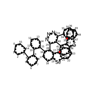 c1ccc(-c2ccccc2-c2ccccc2-c2ccc3[se]c4ccccc4c3c2-c2nnnc(-c3ccccc3)c2-c2cccc3sc4ccccc4c23)cc1